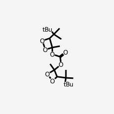 CC1(OC(=O)OC2(C)OOC2C(C)(C)C(C)(C)C)OOC1C(C)(C)C(C)(C)C